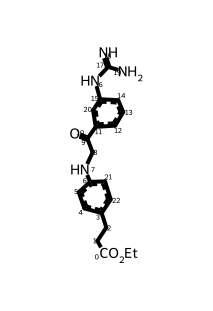 CCOC(=O)CCc1ccc(NCC(=O)c2cccc(NC(=N)N)c2)cc1